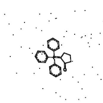 O=C1CCCC1=P(c1ccccc1)(c1ccccc1)c1ccccc1